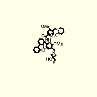 COc1cc(C(=O)NC2(c3ccc(CN4CC(O)(CF)C4)c(OC)n3)C=CC=C(c3ccccc3Cl)C2Cl)ncc1CN1CCCC[C@H]1C(=O)O